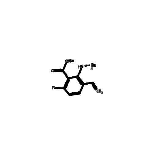 C=Cc1ccc(F)c(C(=O)OC)c1N[C@@H](C)CC